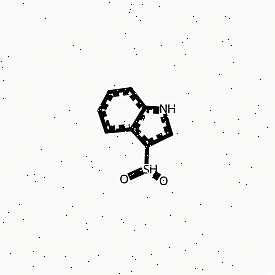 O=[SH](=O)c1c[nH]c2ccccc12